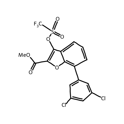 COC(=O)c1oc2c(-c3cc(Cl)cc(Cl)c3)cccc2c1OS(=O)(=O)C(F)(F)F